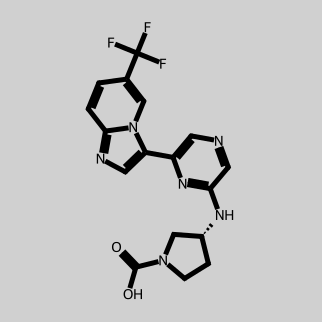 O=C(O)N1CC[C@@H](Nc2cncc(-c3cnc4ccc(C(F)(F)F)cn34)n2)C1